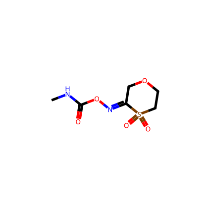 CNC(=O)ON=C1COCCS1(=O)=O